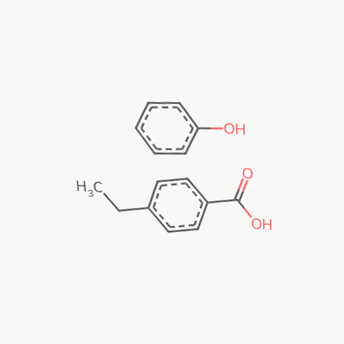 CCc1ccc(C(=O)O)cc1.Oc1ccccc1